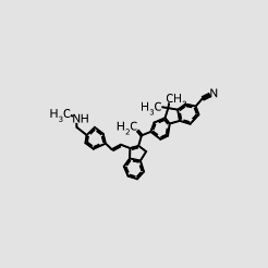 C=C(C1=C(C=Cc2ccc(CNC)cc2)c2ccccc2C1)c1ccc2c(c1)C(C)(C)c1cc(C#N)ccc1-2